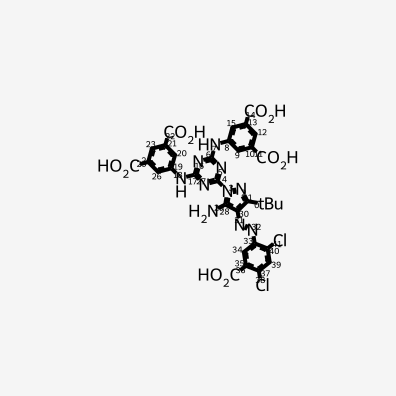 CC(C)(C)c1nn(-c2nc(Nc3cc(C(=O)O)cc(C(=O)O)c3)nc(Nc3cc(C(=O)O)cc(C(=O)O)c3)n2)c(N)c1/N=N/c1cc(C(=O)O)c(Cl)cc1Cl